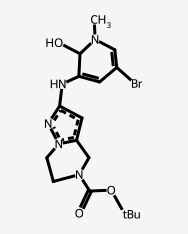 CN1C=C(Br)C=C(Nc2cc3n(n2)CCN(C(=O)OC(C)(C)C)C3)C1O